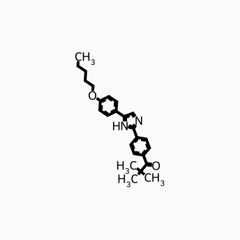 CCCCCOc1ccc(-c2cnc(-c3ccc(C(=O)C(C)(C)C)cc3)[nH]2)cc1